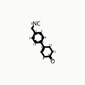 [C-]#[N+]Cc1ccc(C2=CCC(=O)CC2)cc1